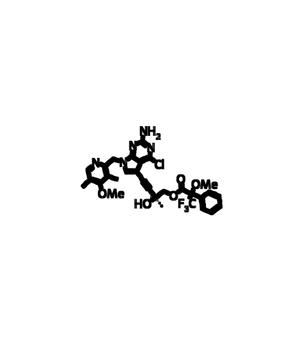 COc1c(C)cnc(Cn2cc(C#C[C@](C)(O)COC(=O)C(OC)(c3ccccc3)C(F)(F)F)c3c(Cl)nc(N)nc32)c1C